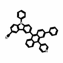 N#Cc1ccc2c(c1)c1cc(-c3c4ccccc4c(-c4ccncc4)c4cc(-c5ccccc5)ccc34)ccc1n2-c1ccccc1